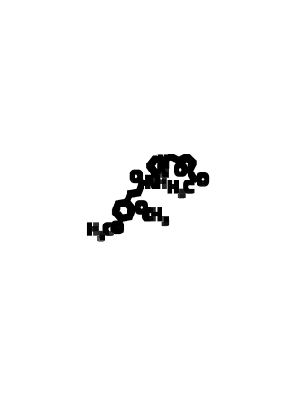 COc1ccc(/C=C/C(=O)Nc2ccn(Cc3ccc(C(C)=O)o3)n2)c(OC)c1